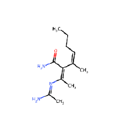 CCC\C=C(C)/C(C(N)=O)=C(C)/N=C(\C)N